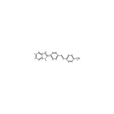 N#Cc1ccc(C=Cc2ccc(-c3nc4ccccc4s3)cc2)cc1